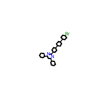 Brc1ccc(-c2ccc(-c3ccc(-c4nc(-c5ccccc5)cc(-c5ccccc5)n4)cc3)cc2)cc1